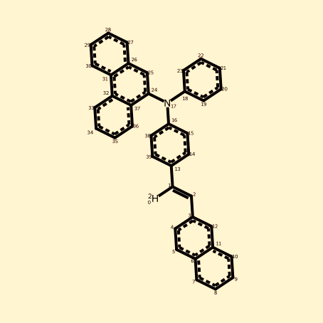 [2H]/C(=C\c1ccc2ccccc2c1)c1ccc(N(c2ccccc2)c2cc3ccccc3c3ccccc23)cc1